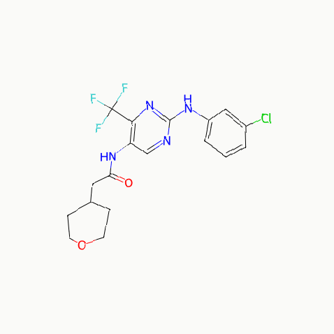 O=C(CC1CCOCC1)Nc1cnc(Nc2cccc(Cl)c2)nc1C(F)(F)F